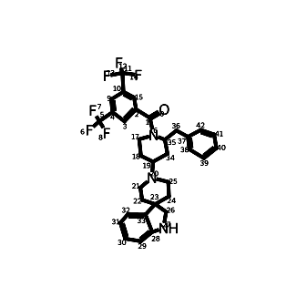 O=C(c1cc(C(F)(F)F)cc(C(F)(F)F)c1)N1CCC(N2CCC3(CC2)CNc2ccccc23)CC1Cc1ccccc1